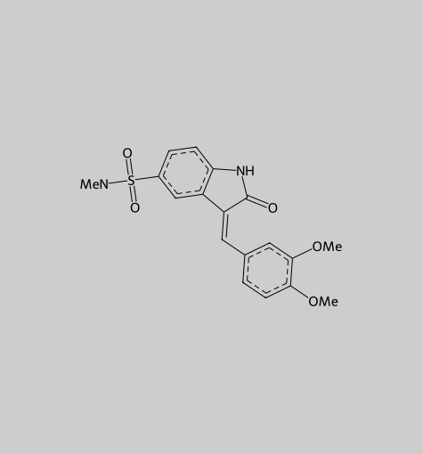 CNS(=O)(=O)c1ccc2c(c1)C(=Cc1ccc(OC)c(OC)c1)C(=O)N2